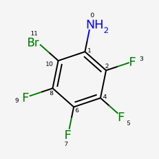 Nc1c(F)c(F)c(F)c(F)c1Br